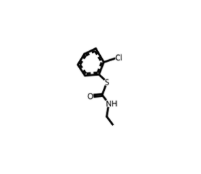 CCNC(=O)Sc1ccccc1Cl